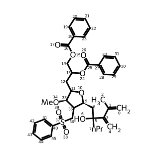 C=C(C)C(=C)C(O)(CCC)C[C@@H]1OC(CC(COC(=O)c2ccccc2)OC(=O)c2ccccc2)[C@H](OC)C1CS(=O)(=O)c1ccccc1